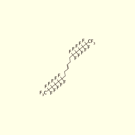 FC(F)(F)C(F)(F)C(F)(F)C(F)(F)C(F)(F)C(F)(F)CCC=CCCC(F)(F)C(F)(F)C(F)(F)C(F)(F)C(F)(F)C(F)(F)F